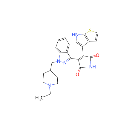 CCN1CCC(Cn2nc(C3=C(c4c[nH]c5sccc45)C(=O)NC3=O)c3ccccc32)CC1